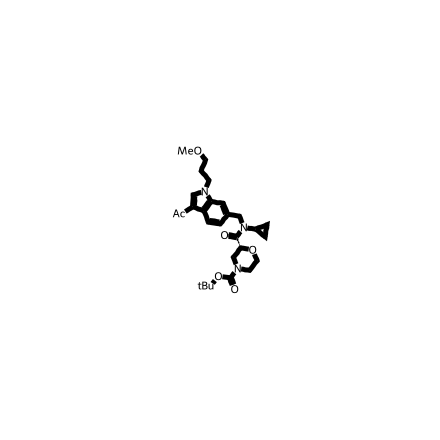 COCCCn1cc(C(C)=O)c2ccc(CN(C(=O)[C@H]3CN(C(=O)OC(C)(C)C)CCO3)C3CC3)cc21